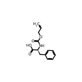 C=CCOC(=O)N[C@@H](Cc1ccccc1)C(=O)O